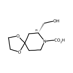 O=C(O)N1CCC2(C[C@@H]1CO)OCCO2